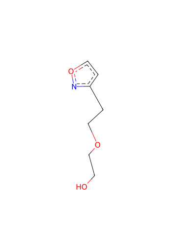 OCCOCCc1ccon1